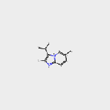 Cc1ccc2nc(C)c(C(C)C)n2c1